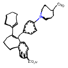 O=CC1CCN(c2ccc(C3=C(C4=CCCCC4)CCCc4cc(C(=O)O)ccc43)cc2)CC1